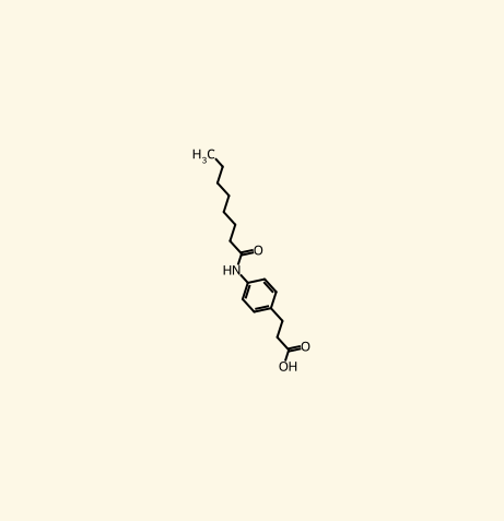 CCCCCCCC(=O)Nc1ccc(CCC(=O)O)cc1